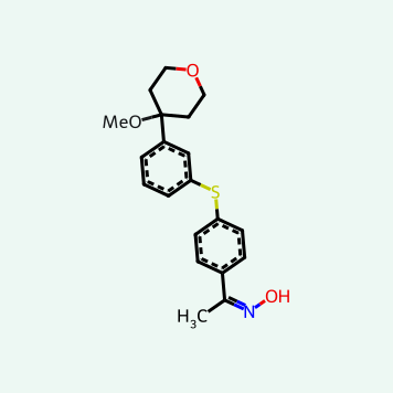 COC1(c2cccc(Sc3ccc(/C(C)=N\O)cc3)c2)CCOCC1